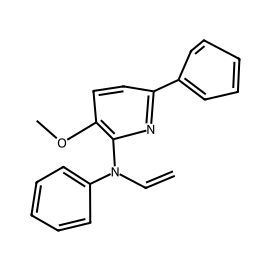 C=CN(c1ccccc1)c1nc(-c2ccccc2)ccc1OC